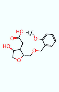 COc1ccccc1COC[C@@H]1OC[C@@H](O)[C@H]1CC(=O)O